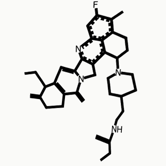 C=C(CC)NCCC1CCN(C2CCc3c(C)c(F)cc4nc5c(c2c34)CN2C(=C)C3=C(C=C52)C(CC)C(=C)CC3)CC1